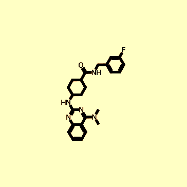 CN(C)c1nc(NC2CCC(C(=O)NCc3cccc(F)c3)CC2)nc2ccccc12